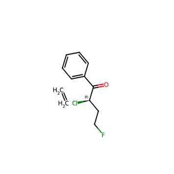 C=C.O=C(c1ccccc1)[C@H](Cl)CCF